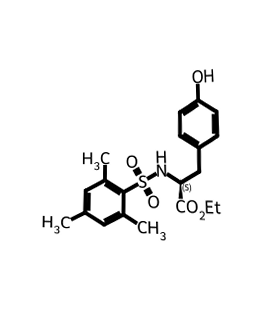 CCOC(=O)[C@H](Cc1ccc(O)cc1)NS(=O)(=O)c1c(C)cc(C)cc1C